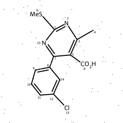 CSc1nc(C)c(C(=O)O)c(-c2cccc(Cl)c2)n1